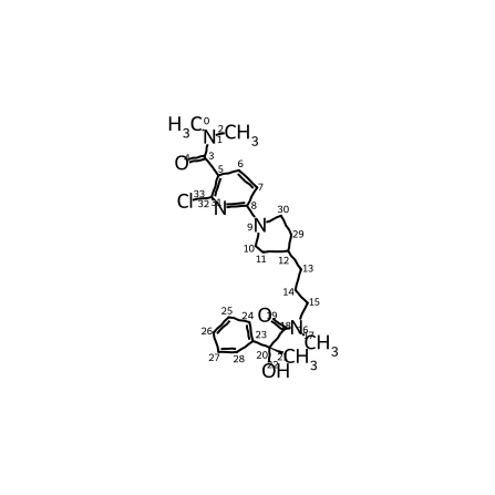 CN(C)C(=O)c1ccc(N2CCC(CCCN(C)C(=O)[C@](C)(O)c3ccccc3)CC2)nc1Cl